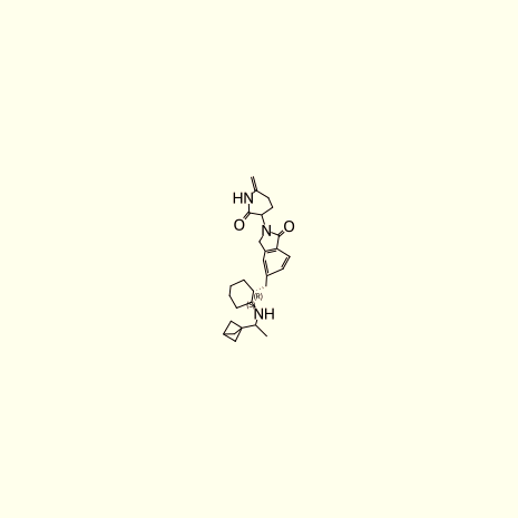 C=C1CCC(N2Cc3cc(C[C@H]4CCCC[C@@H]4NC(C)C45CC(C4)C5)ccc3C2=O)C(=O)N1